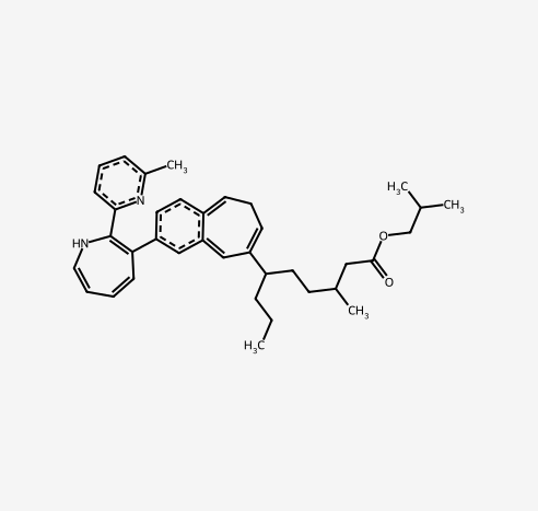 CCCC(CCC(C)CC(=O)OCC(C)C)C1=CCC=c2ccc(C3=C(c4cccc(C)n4)NC=CC=C3)cc2=C1